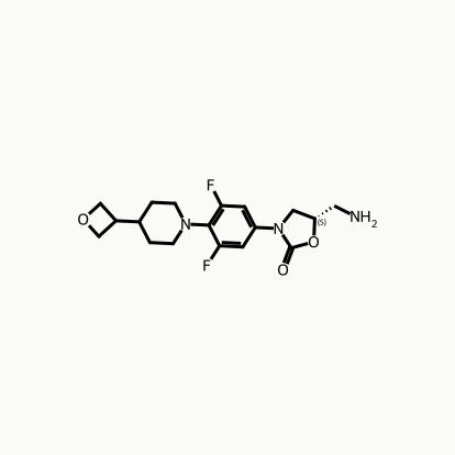 NC[C@H]1CN(c2cc(F)c(N3CCC(C4COC4)CC3)c(F)c2)C(=O)O1